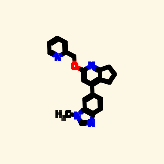 Cn1cnc2ccc(-c3cc(OCc4ccccn4)nc4c3CCC4)cc21